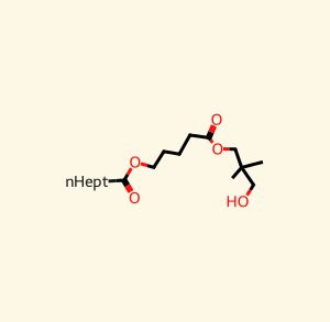 CCCCCCCC(=O)OCCCCC(=O)OCC(C)(C)CO